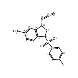 Cc1ccc(S(=O)(=O)N2CC(N=[N+]=[N-])c3cc([N+](=O)[O-])ccc32)cc1